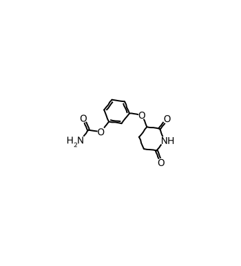 NC(=O)Oc1cccc(OC2CCC(=O)NC2=O)c1